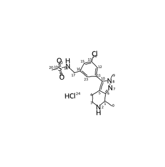 CC1NCCc2c1nn(C)c2-c1cc(Cl)cc(CNS(C)(=O)=O)c1.Cl